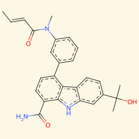 C/C=C/C(=O)N(C)c1cccc(-c2ccc(C(N)=O)c3[nH]c4cc(C(C)(C)O)ccc4c23)c1